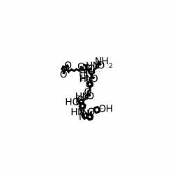 CC(C)C(NC(=O)CCCCCN1C(=O)C=CC1=O)C(=O)NC(CCCNC(N)=O)C(=O)Nc1ccc(COC(=O)NCC2OB(O)c3cc(Nc4ncc5cccc(O[C@H]6CC[C@@H](O)CC6)c5n4)ccc32)cc1